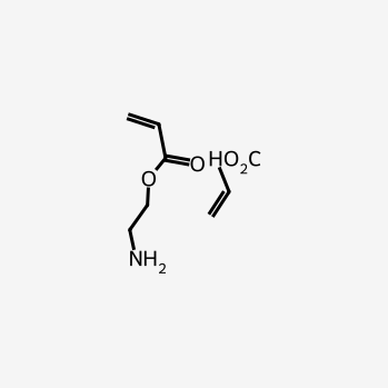 C=CC(=O)O.C=CC(=O)OCCN